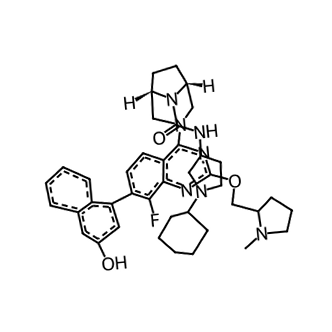 CN1CCCC1COc1nc(N2C[C@H]3CC[C@@H](C2)N3C(=O)NC2CCN(C3CCCCC3)C2)c2ccc(-c3cc(O)cc4ccccc34)c(F)c2n1